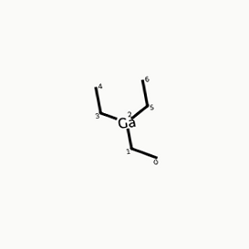 C[CH2][Ga]([CH2]C)[CH2]C